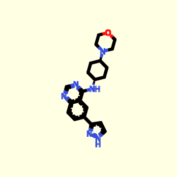 c1nc(N[C@H]2CC[C@H](N3CCOCC3)CC2)c2cc(-c3cc[nH]n3)ccc2n1